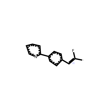 [CH2]/C(F)=C/c1ccc(-c2ccccn2)cc1